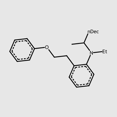 CCCCCCCCCCC(C)N(CC)c1ccccc1CCOc1ccccc1